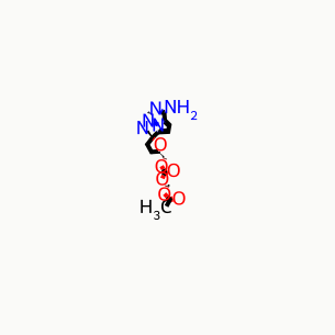 CC(=O)OCOC(=O)OC[C@@H]1CC[C@](C#N)(c2ccc3c(N)ncnn23)O1